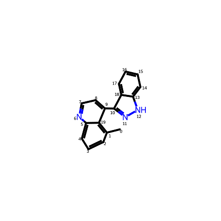 Cc1cccc2nccc(-c3n[nH]c4ccccc34)c12